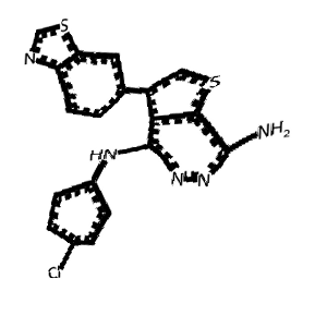 Nc1nnc(Nc2ccc(Cl)cc2)c2c(-c3ccc4ncsc4c3)csc12